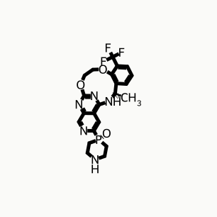 C[C@H]1Nc2nc(nc3cnc(P4(=O)CCNCC4)cc23)OCCOc2c1cccc2C(F)(F)F